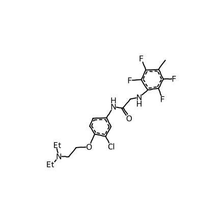 CCN(CC)CCOc1ccc(NC(=O)CNc2c(F)c(F)c(C)c(F)c2F)cc1Cl